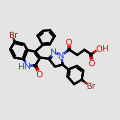 O=C(O)CCC(=O)N1N=C(c2c(-c3ccccc3)c3cc(Br)ccc3[nH]c2=O)CC1C1=CCC(Br)C=C1